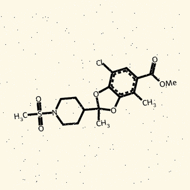 COC(=O)c1cc(Cl)c2c(c1C)OC(C)(C1CCN(S(C)(=O)=O)CC1)O2